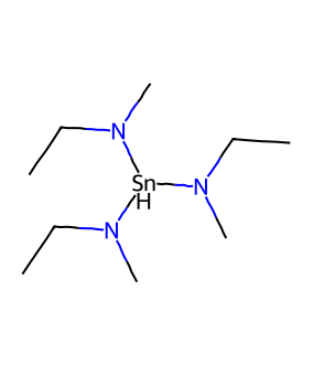 CC[N](C)[SnH]([N](C)CC)[N](C)CC